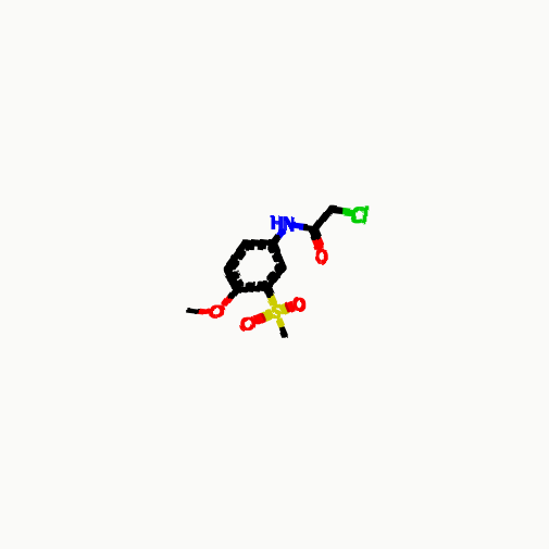 COc1ccc(NC(=O)CCl)cc1S(C)(=O)=O